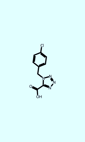 O=C(O)c1nnnn1Cc1ccc(Cl)cc1